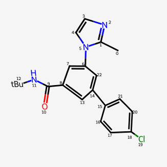 Cc1nccn1-c1cc(C(=O)NC(C)(C)C)cc(-c2ccc(Cl)cc2)c1